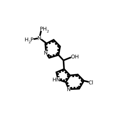 OC(c1ccc(N(P)P)nc1)c1c[nH]c2ncc(Cl)cc12